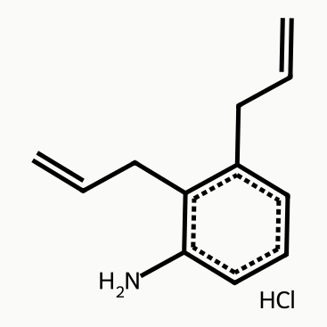 C=CCc1cccc(N)c1CC=C.Cl